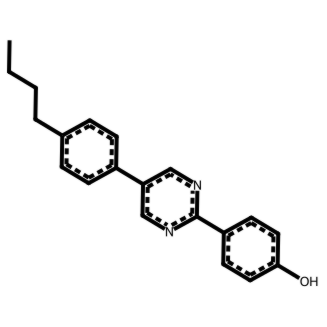 CCCCc1ccc(-c2cnc(-c3ccc(O)cc3)nc2)cc1